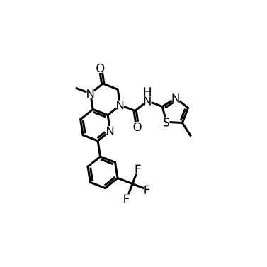 Cc1cnc(NC(=O)N2CC(=O)N(C)c3ccc(-c4cccc(C(F)(F)F)c4)nc32)s1